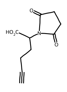 C#CCCC(C(=O)O)N1C(=O)CCC1=O